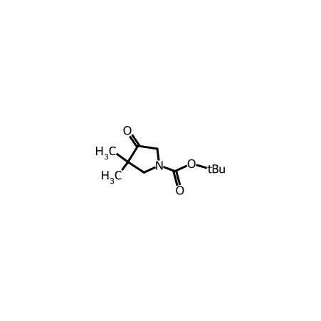 CC(C)(C)OC(=O)N1CC(=O)C(C)(C)C1